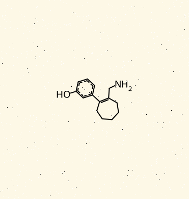 NCC1=C(c2cccc(O)c2)CCCCC1